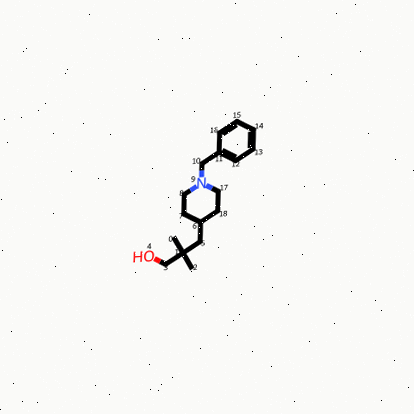 CC(C)(CO)CC1CCN(Cc2ccccc2)CC1